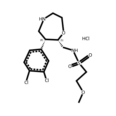 COCCS(=O)(=O)NC[C@H]1OCCNC[C@H]1c1ccc(Cl)c(Cl)c1.Cl